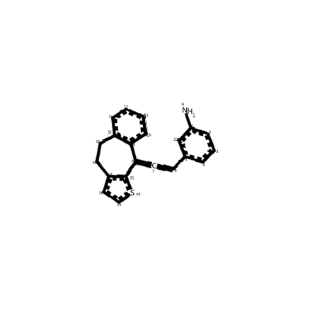 Nc1cccc(C=C=C2c3ccccc3CCc3ccsc32)c1